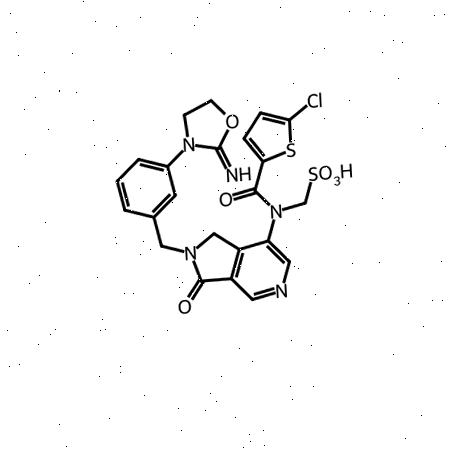 N=C1OCCN1c1cccc(CN2Cc3c(cncc3N(CS(=O)(=O)O)C(=O)c3ccc(Cl)s3)C2=O)c1